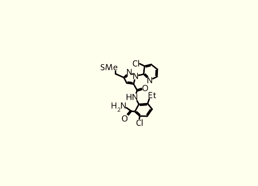 CCc1ccc(Cl)c(C(N)=O)c1NC(=O)c1cc(CSC)nn1-c1ncccc1Cl